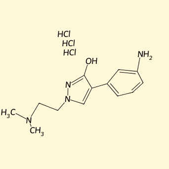 CN(C)CCn1cc(-c2cccc(N)c2)c(O)n1.Cl.Cl.Cl